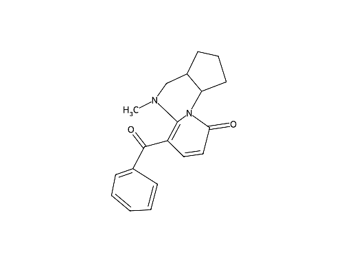 CN1CC2CCCC2n2c1c(C(=O)c1ccccc1)ccc2=O